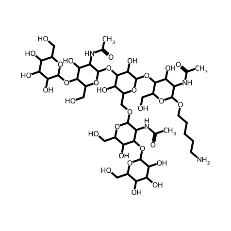 CC(=O)NC1C(OC2C(O)C(COC3OC(CO)C(O)C(OC4OC(CO)C(O)C(O)C4O)C3NC(C)=O)OC(OC3C(CO)OC(OCCCCCN)C(NC(C)=O)C3O)C2O)OC(CO)C(OC2OC(CO)C(O)C(O)C2O)C1O